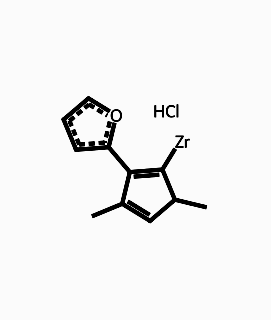 CC1=CC(C)[C]([Zr])=C1c1ccco1.Cl